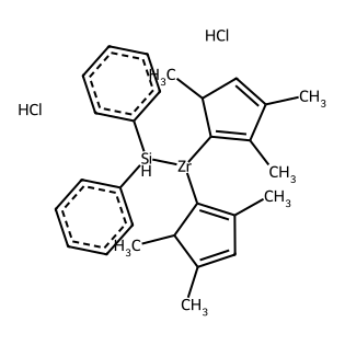 CC1=CC(C)[C]([Zr]([C]2=C(C)C=C(C)C2C)[SiH](c2ccccc2)c2ccccc2)=C1C.Cl.Cl